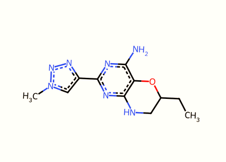 CCC1CNc2nc(-c3cn(C)nn3)nc(N)c2O1